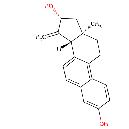 C=C1[C@H](O)C[C@@]2(C)CCc3c(ccc4cc(O)ccc34)[C@H]12